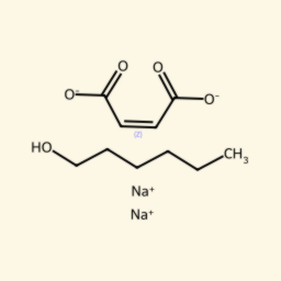 CCCCCCO.O=C([O-])/C=C\C(=O)[O-].[Na+].[Na+]